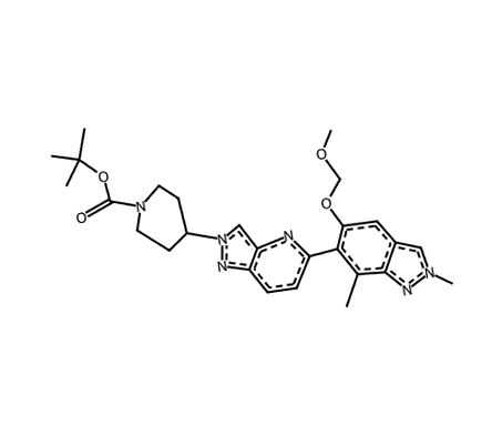 COCOc1cc2cn(C)nc2c(C)c1-c1ccc2nn(C3CCN(C(=O)OC(C)(C)C)CC3)cc2n1